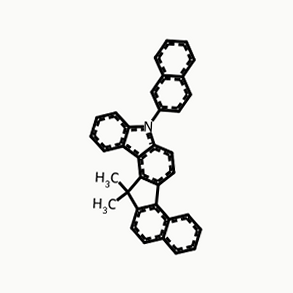 CC1(C)c2ccc3ccccc3c2-c2ccc3c(c21)c1ccccc1n3-c1ccc2ccccc2c1